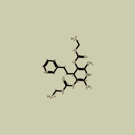 CCOC(=O)OC1=C(C)NC(C)=C(OC(=O)OCC)C1CCc1cccnc1